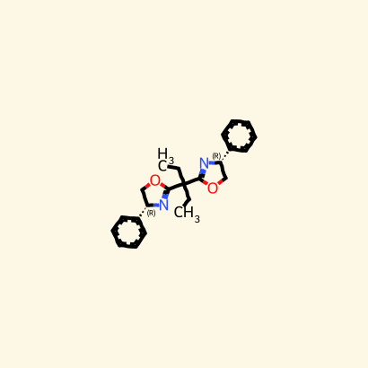 CCC(CC)(C1=N[C@H](c2ccccc2)CO1)C1=N[C@H](c2ccccc2)CO1